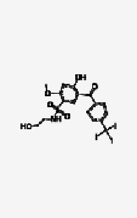 COc1cc(O)c(C(=O)c2ccc(C(I)(I)I)cc2)cc1S(=O)(=O)NCCO